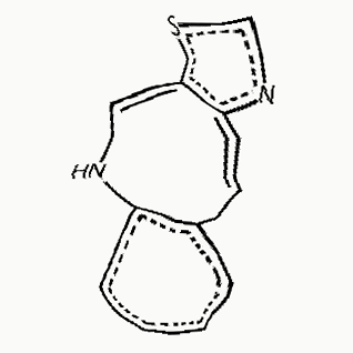 C1=c2ncsc2=CNc2ccccc21